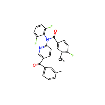 Cc1cccc(C(=O)c2ccc(N(C(=O)c3ccc(F)c(C(F)(F)F)c3)c3c(F)cccc3F)nc2)c1